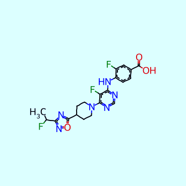 CC(F)c1noc(C2CCN(c3ncnc(Nc4ccc(C(=O)O)cc4F)c3F)CC2)n1